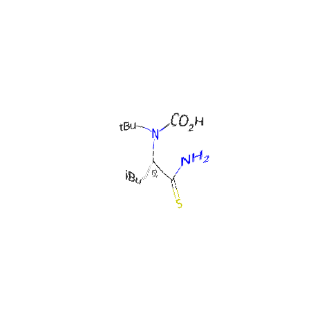 CCC(C)[C@@H](C(N)=S)N(C(=O)O)C(C)(C)C